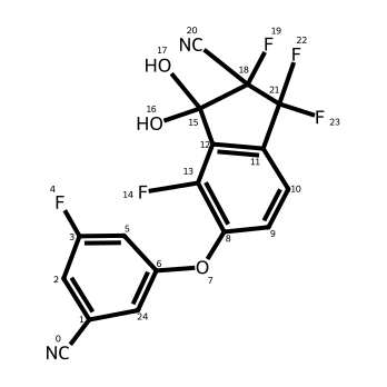 N#Cc1cc(F)cc(Oc2ccc3c(c2F)C(O)(O)C(F)(C#N)C3(F)F)c1